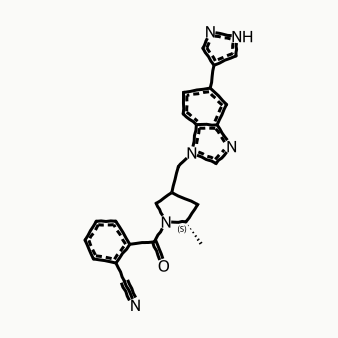 C[C@H]1CC(Cn2cnc3cc(-c4cn[nH]c4)ccc32)CN1C(=O)c1ccccc1C#N